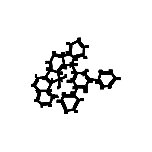 CC1(C)c2c(ccc3cccnc23)-c2ccc3c4ccccc4n(-c4nc(-c5ccccc5)nc(-c5ccccc5)n4)c3c21